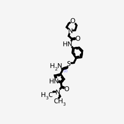 CCN(CC)C(=O)c1cc(/C(N)=C/SCc2cccc(NC(=O)CN3CCOCC3)c2)c[nH]1